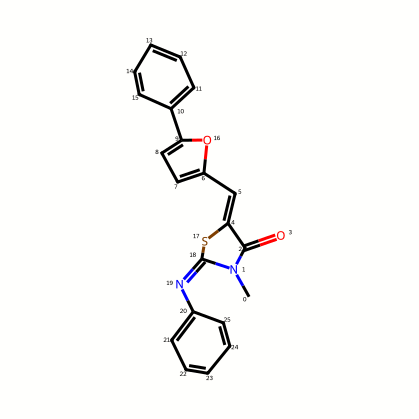 CN1C(=O)/C(=C/c2ccc(-c3ccccc3)o2)S/C1=N/c1ccccc1